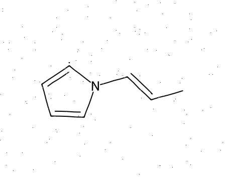 CC=Cn1[c]ccc1